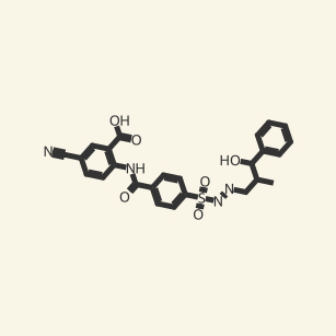 CC(CN=NS(=O)(=O)c1ccc(C(=O)Nc2ccc(C#N)cc2C(=O)O)cc1)C(O)c1ccccc1